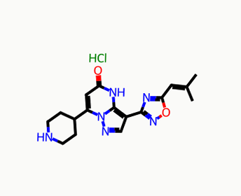 CC(C)=Cc1nc(-c2cnn3c(C4CCNCC4)cc(=O)[nH]c23)no1.Cl